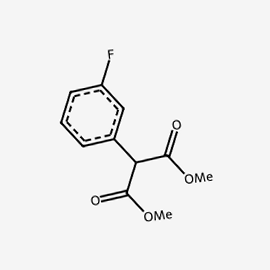 COC(=O)C(C(=O)OC)c1cccc(F)c1